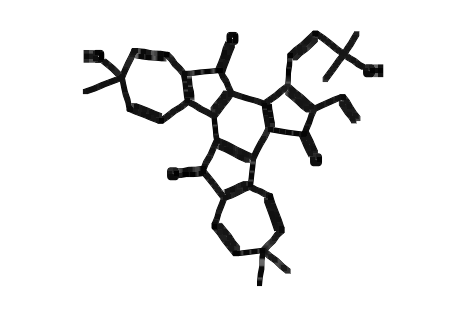 C=Cc1c(/C=C\C(C)(C)O)c2c3c(=O)c4c(c3c3c(=O)c5c(c3c2c1=O)C=CC(C)(C)C=C5)C=CC(C)(O)C=C4